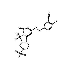 BC1(B)C2CN(S(C)(=O)=O)CCN2c2cc(OCc3ccc(F)c(C#N)c3)nc(=O)n21